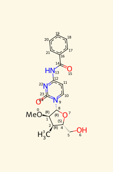 CO[C@@H]1[C@H](C)[C@@H](CO)O[C@H]1n1ccc(NC(=O)c2ccccc2)nc1=O